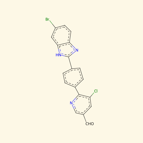 O=Cc1cnc(-c2ccc(-c3nc4ccc(Br)cc4[nH]3)cc2)c(Cl)c1